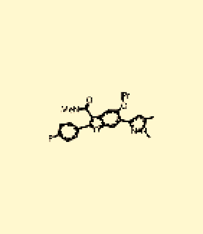 CNC(=O)c1c(-c2ccc(F)cc2)oc2cc(-c3cc(C)n(C)n3)c(OC(C)C)cc12